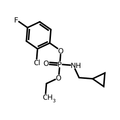 CCOP(=O)(NCC1CC1)Oc1ccc(F)cc1Cl